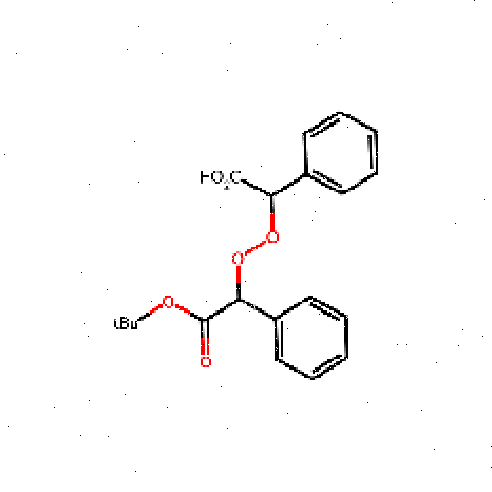 CC(C)(C)OC(=O)C(OOC(C(=O)O)c1ccccc1)c1ccccc1